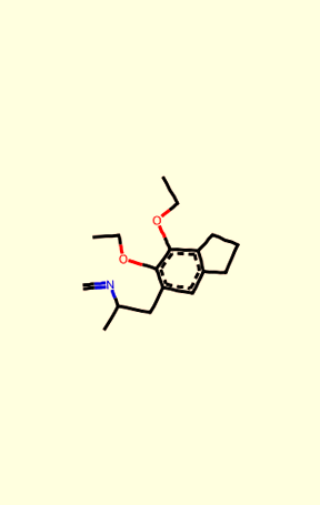 C=NC(C)Cc1cc2c(c(OCC)c1OCC)CCC2